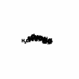 C=CC(=O)Nc1cccc(NC(=O)c2ccc(Nc3nccc(-c4cccnc4)n3)cc2)c1